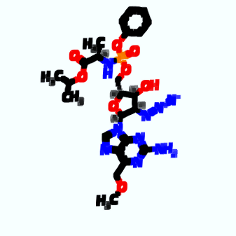 COCc1nc(N)nc2c1ncn2[C@@H]1O[C@H](COP(=O)(N[C@@H](C)C(=O)OC(C)C)Oc2ccccc2)[C@@H](O)[C@H]1N=[N+]=[N-]